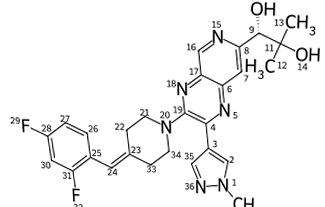 Cn1cc(-c2nc3cc([C@H](O)C(C)(C)O)ncc3nc2N2CCC(=Cc3ccc(F)cc3F)CC2)cn1